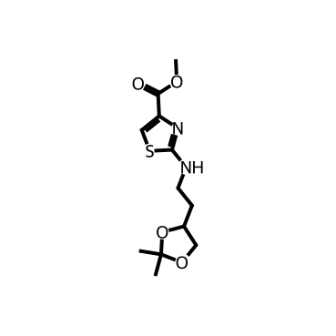 COC(=O)c1csc(NCCC2COC(C)(C)O2)n1